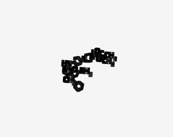 Cc1cnc(Nc2ccc(N3CCN(C(=O)OC(C)(C)C)CC3)cc2)nc1C(CC(N)=O)Cc1ccccc1